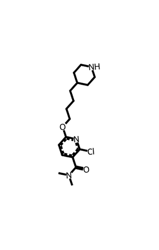 CN(C)C(=O)c1ccc(OCCCCC2CCNCC2)nc1Cl